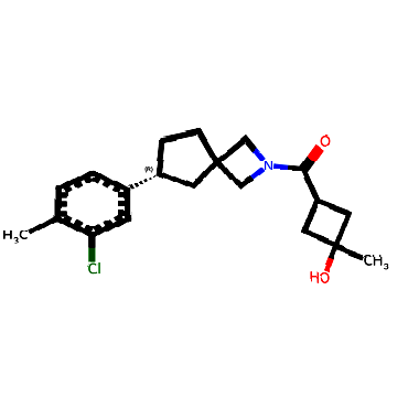 Cc1ccc([C@@H]2CCC3(C2)CN(C(=O)C2CC(C)(O)C2)C3)cc1Cl